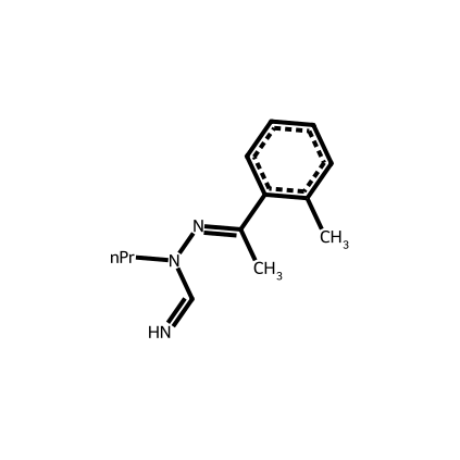 CCCN(C=N)/N=C(\C)c1ccccc1C